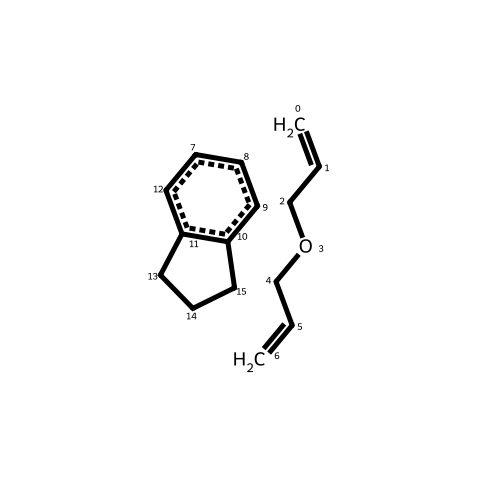 C=CCOCC=C.c1ccc2c(c1)CCC2